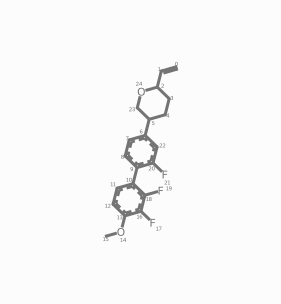 C=CC1CCC(c2ccc(-c3ccc(OC)c(F)c3F)c(F)c2)CO1